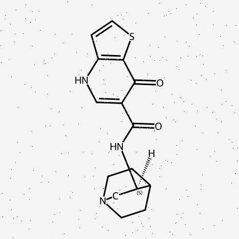 O=C(N[C@@H]1CN2CCC1CC2)c1c[nH]c2ccsc2c1=O